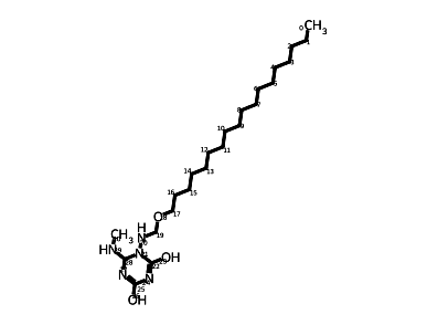 CCCCCCCCCCCCCCCCCCOCNN1C(O)=NC(O)=NC1NC